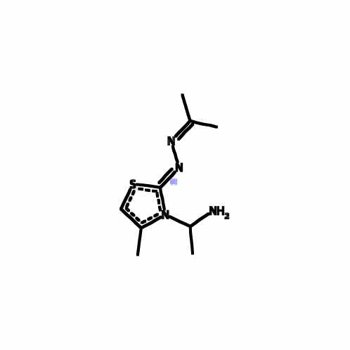 CC(C)=N/N=c1\scc(C)n1C(C)N